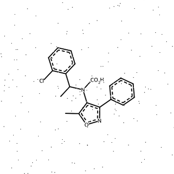 Cc1onc(-c2ccccc2)c1N(C(=O)O)C(C)c1ccccc1Cl